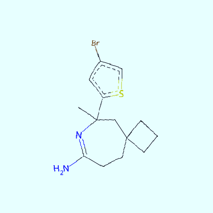 CC1(c2cc(Br)cs2)CC2(CCC2)CCC(N)=N1